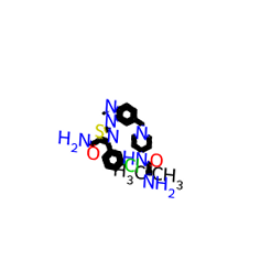 CC(C)(N)C(=O)NC1CCN(Cc2ccc3ncn(-c4nc(-c5cccc(Cl)c5)c(C(N)=O)s4)c3c2)CC1